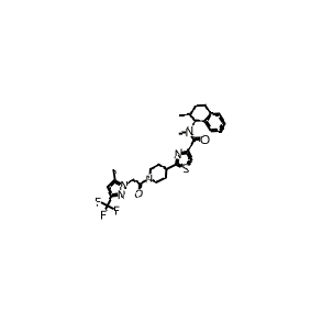 Cc1cc(C(F)(F)F)nn1CC(=O)N1CCC(c2nc(C(=O)N(C)[C@@H]3c4ccccc4CCC3C)cs2)CC1